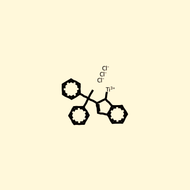 CC(C1=Cc2ccccc2[CH]1[Ti+3])(c1ccccc1)c1ccccc1.[Cl-].[Cl-].[Cl-]